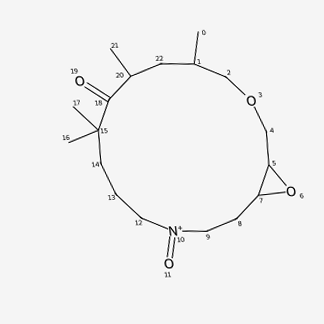 CC1COCC2OC2CC[N+](=O)CCCC(C)(C)C(=O)C(C)C1